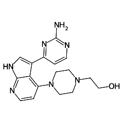 Nc1nccc(-c2c[nH]c3nccc(N4CCN(CCO)CC4)c23)n1